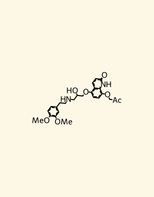 COc1ccc(CCNCC(O)COc2ccc(OCC(C)=O)c3[nH]c(=O)ccc23)cc1OC